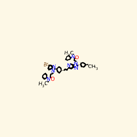 CCN(C(=O)CCn1c2cnc(CCC[C@H]3CC[C@H](c4nc5cc(Br)ccc5n4CCC(=O)N(CC)C4CCCCC4)CC3)cc2nc1[C@H]1CC[C@H](CC)CC1)C1CCCCC1